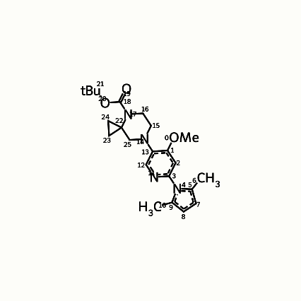 COc1cc(-n2c(C)ccc2C)ncc1N1CCN(C(=O)OC(C)(C)C)C2(CC2)C1